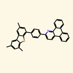 Cc1cc(C)c2sc3c(-c4ccc(-c5ccc6c7ccccc7c7ccccc7c6n5)cc4)cc(C)cc3c2c1